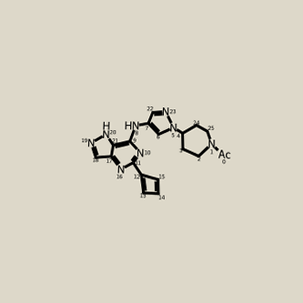 CC(=O)N1CCC(n2cc(Nc3nc(C4=CC=C4)nc4cn[nH]c34)cn2)CC1